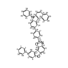 c1ccc(-c2ccc3oc4ccc5nc(-c6ccc(-c7ccc8c(c7)c7c9ccccc9ccc7n8-c7ccccc7)cc6)oc5c4c3c2)cc1